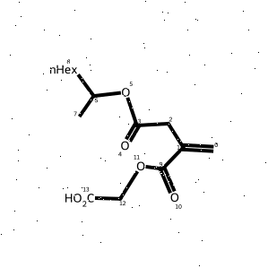 C=C(CC(=O)OC(C)CCCCCC)C(=O)OCC(=O)O